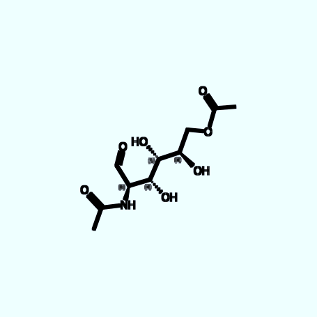 CC(=O)N[C@@H](C=O)[C@@H](O)[C@H](O)[C@H](O)COC(C)=O